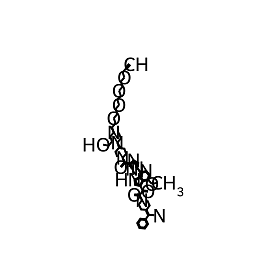 C#CCOCCOCCOCCOCCN1CCN(C2CCN(C(=O)c3ncn(-c4ncc(OC)c5c(C(=O)C(=O)N6CCC(=C(C#N)c7ccccc7)CC6)c[nH]c45)n3)CC2)C(CO)C1